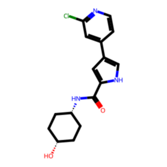 O=C(N[C@H]1CC[C@@H](O)CC1)c1cc(-c2ccnc(Cl)c2)c[nH]1